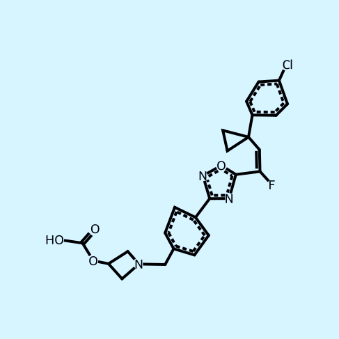 O=C(O)OC1CN(Cc2ccc(-c3noc(/C(F)=C\C4(c5ccc(Cl)cc5)CC4)n3)cc2)C1